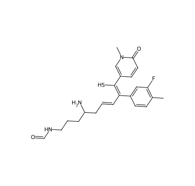 Cc1ccc(C(/C=C/CC(N)CCCNC=O)=C(/S)c2ccc(=O)n(C)c2)cc1F